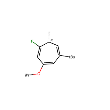 CC(C)OC1=CC(C(C)(C)C)=C[C@@H](C)C(F)=C1